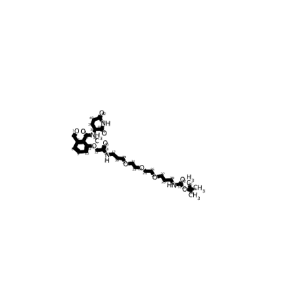 CN(C(=O)c1c(C=O)cccc1OCC(=O)NCCCOCCOCCOCCCNC(=O)OC(C)(C)C)C1CCC(=O)NC1=O